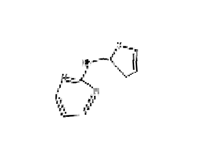 C1=COC(Nc2ncccn2)C1